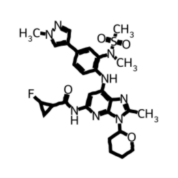 Cc1nc2c(Nc3ccc(-c4cnn(C)c4)cc3N(C)S(C)(=O)=O)cc(NC(=O)C3CC3F)nc2n1C1CCCCO1